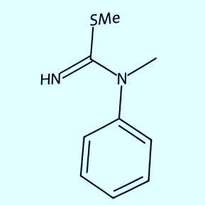 CSC(=N)N(C)c1ccccc1